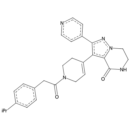 CC(C)c1ccc(CC(=O)N2CC=C(c3c(-c4ccncc4)nn4c3C(=O)NCC4)CC2)cc1